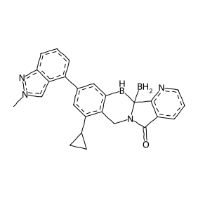 BC12Bc3cc(-c4cccc5nn(C)cc45)cc(C4CC4)c3CN1C(=O)c1cccnc12